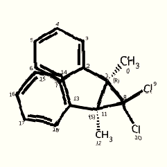 C[C@]1(c2ccccc2)C(Cl)(Cl)[C@@]1(C)c1ccccc1